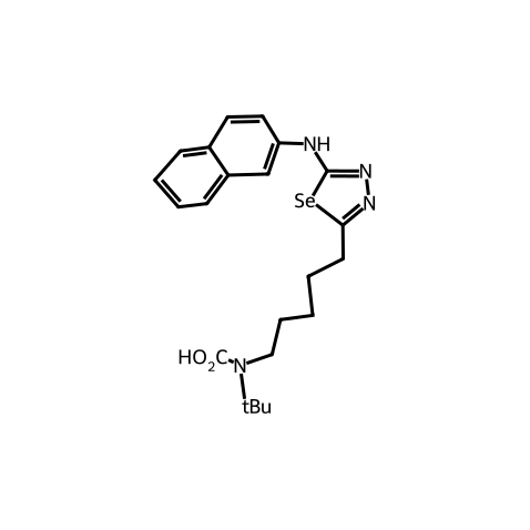 CC(C)(C)N(CCCCCc1nnc(Nc2ccc3ccccc3c2)[se]1)C(=O)O